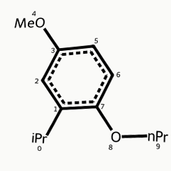 [CH2]C(C)c1cc(OC)ccc1OCCC